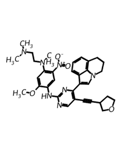 COc1cc(N(C)CCN(C)C)c([N+](=O)[O-])cc1Nc1ncc(C#CC2CCOC2)c(-c2cn3c4c(cccc24)CCC3)n1